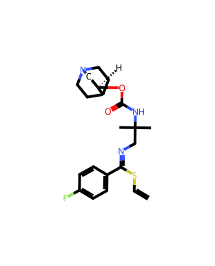 C=CS/C(=N\CC(C)(C)NC(=O)O[C@@H]1CN2CCC1CC2)c1ccc(F)cc1